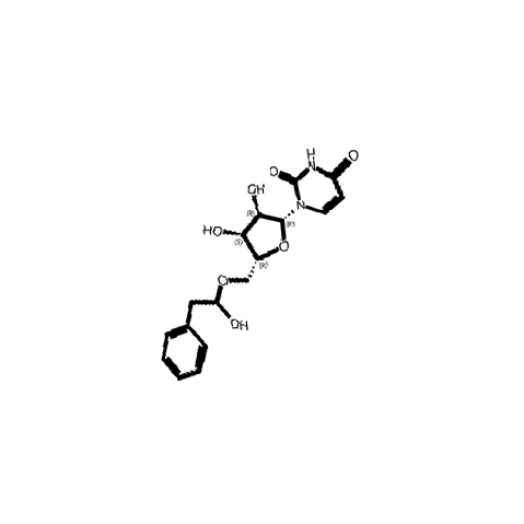 O=c1ccn([C@@H]2O[C@H](COC(O)Cc3ccccc3)[C@@H](O)[C@H]2O)c(=O)[nH]1